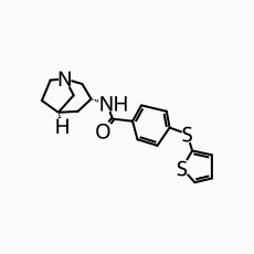 O=C(N[C@@H]1C[C@H]2CCN(C2)C1)c1ccc(Sc2cccs2)cc1